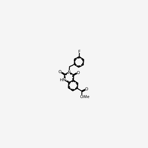 COC(=O)c1ccc2[nH]c(=O)n(Cc3cccc(F)c3)c(=O)c2c1